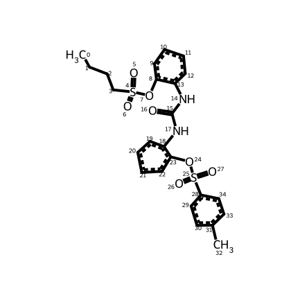 CCCCS(=O)(=O)Oc1ccccc1NC(=O)Nc1ccccc1OS(=O)(=O)c1ccc(C)cc1